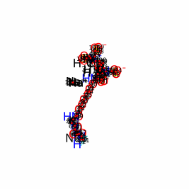 CC1(C)C(/C=C/C2=C(Oc3ccc(CCC(=O)NCCOCCOCCOCCOCCOCCOCCC(=O)NCc4cccc5c4CN(C(=O)C[C@@H]4C[C@@H](C(=O)N6CC(F)(F)C[C@H]6C#N)NC4=O)C5)cc3)C(=C/C=C3/N(CCCCS(=O)(=O)[O-])c4ccc(S(=O)(=O)[O-])cc4C3(C)C)/CCC2)=[N+](CCCCS(=O)(=O)[O-])c2ccc(S(=O)(=O)[O-])cc21.[Na+].[Na+].[Na+]